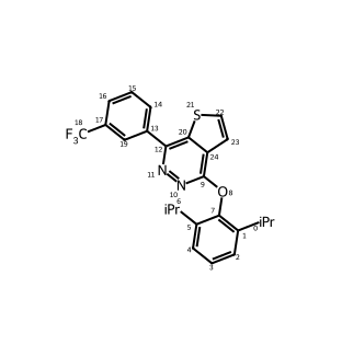 CC(C)c1cccc(C(C)C)c1Oc1nnc(-c2cccc(C(F)(F)F)c2)c2sccc12